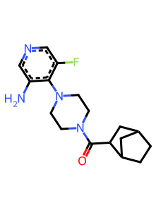 Nc1cncc(F)c1N1CCN(C(=O)C2CC3CCC2C3)CC1